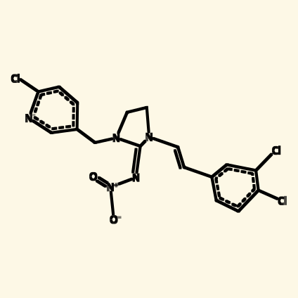 O=[N+]([O-])N=C1N(C=Cc2ccc(Cl)c(Cl)c2)CCN1Cc1ccc(Cl)nc1